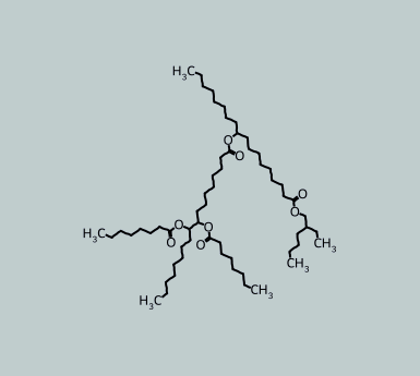 CCCCCCCCC(CCCCCCCCC(=O)OCC(CC)CCCC)OC(=O)CCCCCCCC(OC(=O)CCCCCCC)C(CCCCCCCC)OC(=O)CCCCCCC